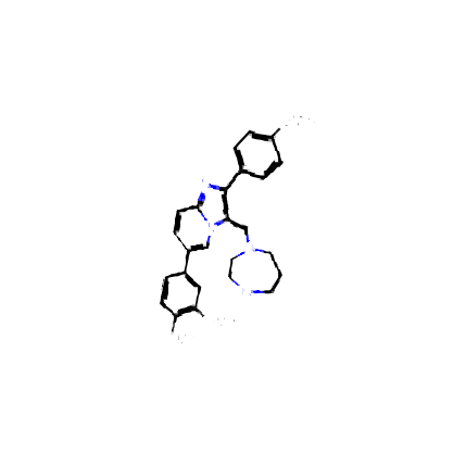 COc1ccc(-c2nc3ccc(-c4ccc(OC)c(OC)c4)cn3c2CN2CCCNCC2)cc1